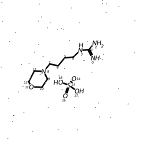 N=C(N)NCCCCN1CCOCC1.O=S(=O)(O)O